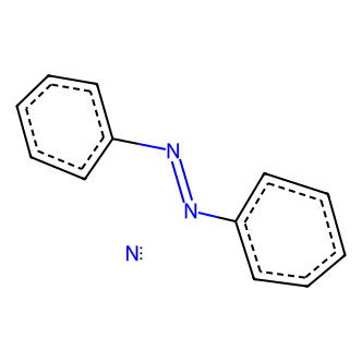 [N].c1ccc(N=Nc2ccccc2)cc1